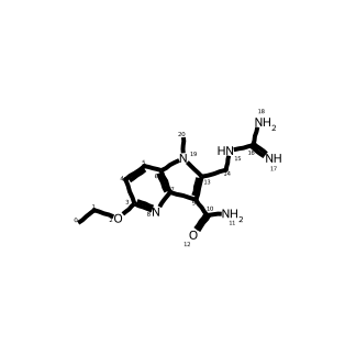 CCOc1ccc2c(n1)c(C(N)=O)c(CNC(=N)N)n2C